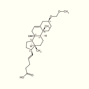 COCO[C@H]1CC[C@@]2(C)C(=CC[C@H]3[C@@H]4CC[C@H](C=CCCC(=O)O)[C@@]4(C)CC[C@@H]32)C1